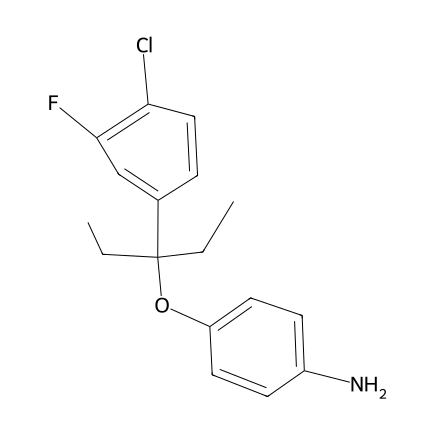 CCC(CC)(Oc1ccc(N)cc1)c1ccc(Cl)c(F)c1